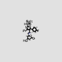 CCS(=O)(=O)Nc1nc(-c2ccc(F)cc2)c(/C=C/[C@@H]2C[C@@H](O)CC(=O)O2)c(C(C)C)n1